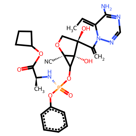 C=C(N1N=CN=C(N)/C1=C/C)[C@@]1(O)CO[C@]2(C#N)C(O[P@](=O)(N[C@@H](C)C(=O)OC3CCC3)Oc3ccccc3)[C@]12O